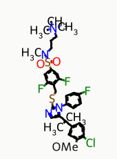 COc1cc(C(C)(C)c2cnc(SCc3c(F)cc(S(=O)(=O)N(C)CCC[N+](C)(C)C)cc3F)n2-c2ccc(F)cc2)ccc1Cl